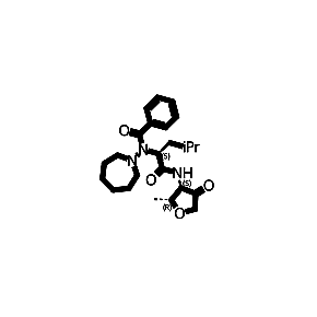 CC(C)C[C@@H](C(=O)N[C@@H]1C(=O)CO[C@@H]1C)N(C(=O)c1ccccc1)N1CCCCCC1